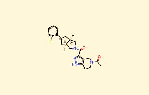 CC(=O)N1CCc2[nH]nc(C(=O)N3C[C@H]4C[C@@H](c5ccccc5F)C[C@H]4C3)c2C1